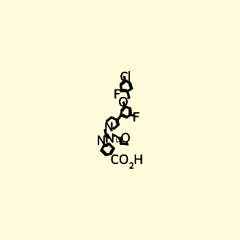 O=C(O)c1ccc2nc(CN3CC=C(c4cc(F)cc(OCc5ccc(Cl)cc5F)c4)CC3)n(C[C@@H]3CCO3)c2c1